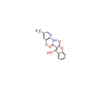 O=C(Nc1ncc(C(F)(F)F)cc1Cl)c1c(O)c2ccccc2oc1=O